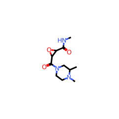 CNC(=O)C1OC1C(=O)N1CCN(C)C(C)C1